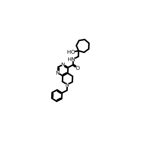 O=C(NCC1(O)CCCCCC1)c1ncnc2c1CCN(Cc1ccccc1)C2